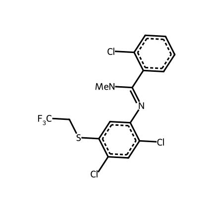 CN/C(=N\c1cc(SCC(F)(F)F)c(Cl)cc1Cl)c1ccccc1Cl